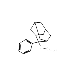 O=C(O)OC1(c2ccccc2)C2CC3CC(C2)CC1C3